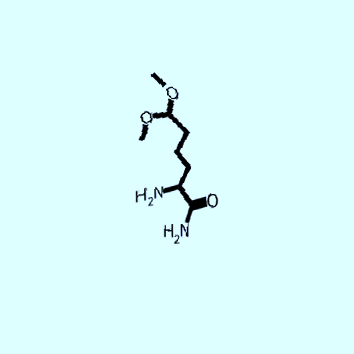 COC(CCCC(N)C(N)=O)OC